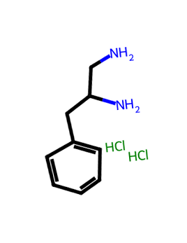 Cl.Cl.NCC(N)Cc1ccccc1